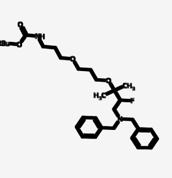 CC(C)(C)OC(=O)NCCCOCCCOC(C)(C)C(F)CN(Cc1ccccc1)Cc1ccccc1